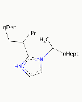 CCCCCCCCCCCC(c1[nH]cc[n+]1C(C)CCCCCCC)C(C)C